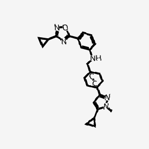 Cn1nc(C23CCC(CNc4cccc(-c5nc(C6CC6)no5)c4)(CC2)CC3)cc1C1CC1